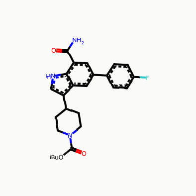 CC(C)COC(=O)N1CCC(c2c[nH]c3c(C(N)=O)cc(-c4ccc(F)cc4)cc23)CC1